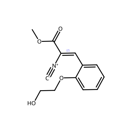 [C-]#[N+]/C(=C\c1ccccc1OCCO)C(=O)OC